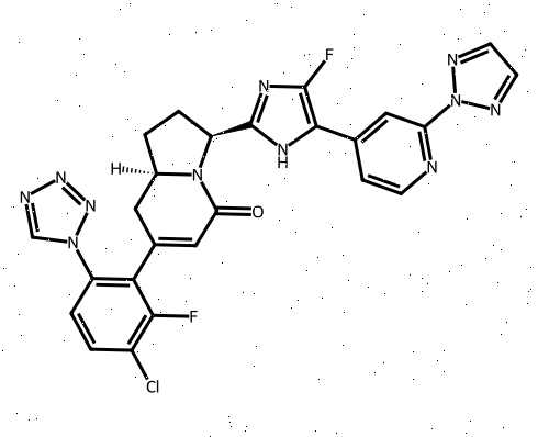 O=C1C=C(c2c(-n3cnnn3)ccc(Cl)c2F)C[C@H]2CC[C@@H](c3nc(F)c(-c4ccnc(-n5nccn5)c4)[nH]3)N12